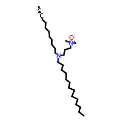 CCCCCCCCCCCCCCN(CCCCCCCCCCCC)CCC[N+](C)(C)[O-]